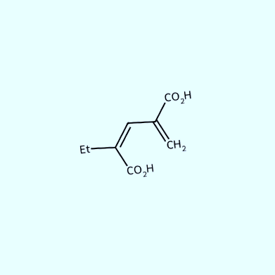 C=C(C=C(CC)C(=O)O)C(=O)O